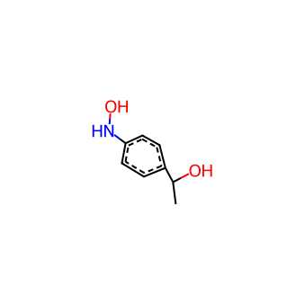 CC(O)c1ccc(NO)cc1